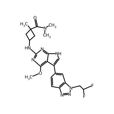 COc1nc(NC2CC(C)(C(=O)N(C)C)C2)nc2[nH]cc(-c3ccc4nnn(CC(F)F)c4c3)c12